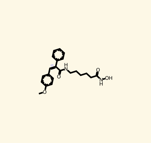 COc1ccc(/C=C(\C(=O)NCCCCCC(=O)NO)c2ccccc2)cc1